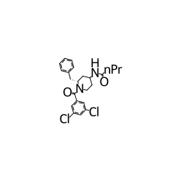 CCCC(=O)N[C@H]1CCN(C(=O)c2cc(Cl)cc(Cl)c2)[C@H](Cc2ccccc2)C1